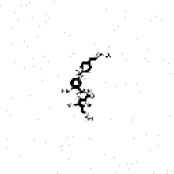 CCCc1c(/C=N/O)n(C)c2c(=O)[nH]c(-c3cc(S(=O)(=O)N4CCC(CCO[N+](=O)[O-])CC4)ccc3OCC)nc12